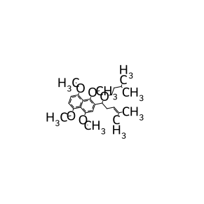 COc1ccc(OC)c2c(OC)c(C(CC=C(C)C)OCCC(C)C)cc(OC)c12